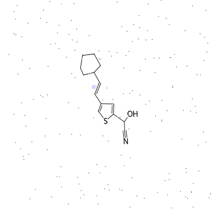 N#CC(O)c1cc(/C=C/C2CCCCC2)cs1